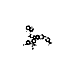 C[C@@H](COc1ccnc2c1[C@H](C)CCC2)C[C@H]1Cc2cc3c(cc2C12CCC(Nc1cccc(Cl)c1)(C(=O)O)CC2)OCC(CN1CCC(=C(F)F)CC1)CO3